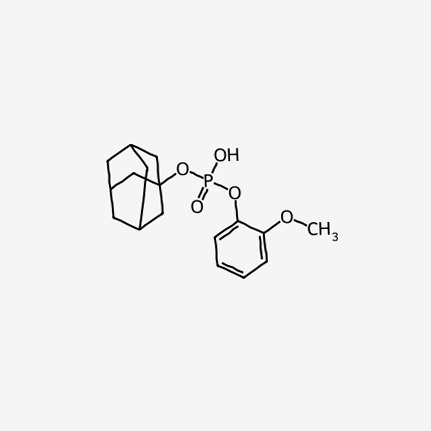 COc1ccccc1OP(=O)(O)OC12CC3CC(CC(C3)C1)C2